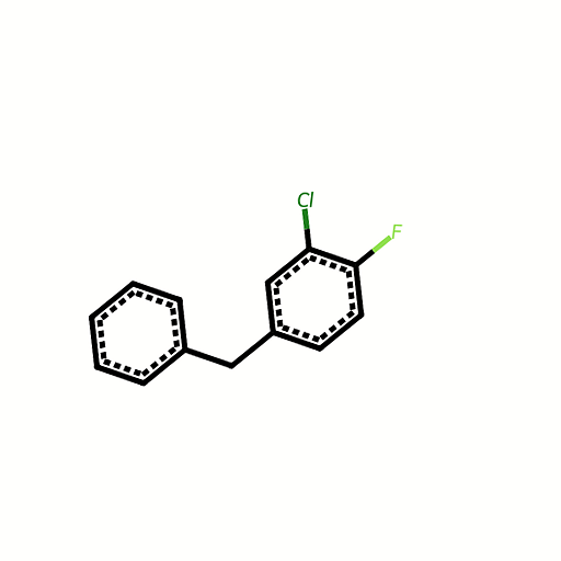 Fc1ccc(Cc2ccccc2)cc1Cl